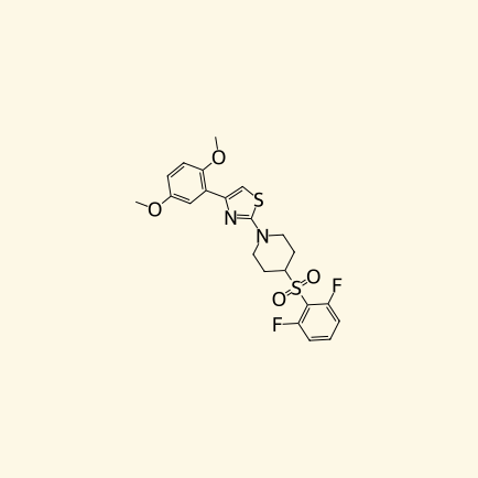 COc1ccc(OC)c(-c2csc(N3CCC(S(=O)(=O)c4c(F)cccc4F)CC3)n2)c1